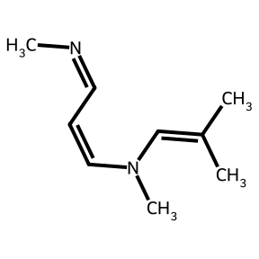 C/N=C\C=C/N(C)C=C(C)C